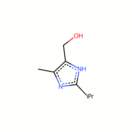 Cc1nc(C(C)C)[nH]c1CO